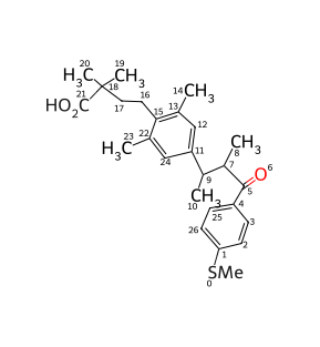 CSc1ccc(C(=O)C(C)C(C)c2cc(C)c(CCC(C)(C)C(=O)O)c(C)c2)cc1